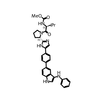 COC(=O)N[C@H](C(=O)N1CCC[C@H]1c1ncc(-c2ccc(-c3ccc4[nH]cc(Nc5ccccc5)c4c3)cc2)[nH]1)C(C)C